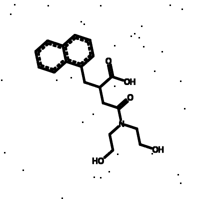 O=C(O)C(CC(=O)N(CCO)CCO)Cc1cccc2ccccc12